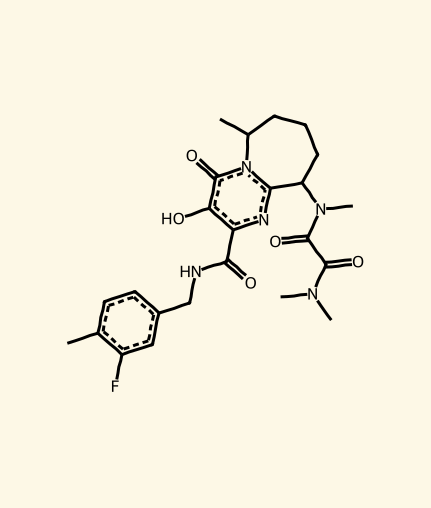 Cc1ccc(CNC(=O)c2nc3n(c(=O)c2O)C(C)CCCC3N(C)C(=O)C(=O)N(C)C)cc1F